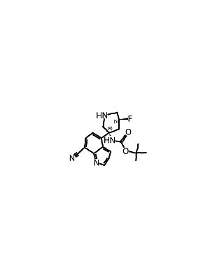 CC(C)(C)OC(=O)N[C@]1(c2ccc(C#N)c3ncccc23)CNC[C@@H](F)C1